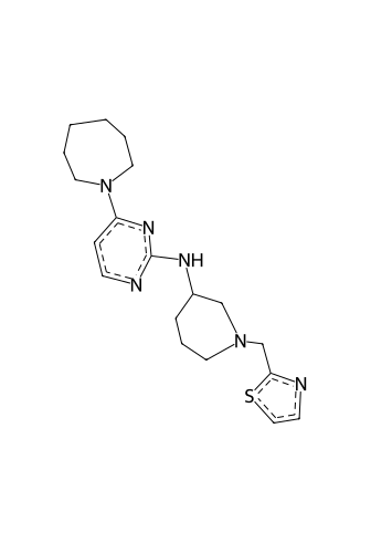 c1cc(N2CCCCCC2)nc(NC2CCCN(Cc3nccs3)C2)n1